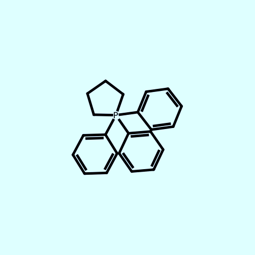 c1ccc(P2(c3ccccc3)(c3ccccc3)CCCC2)cc1